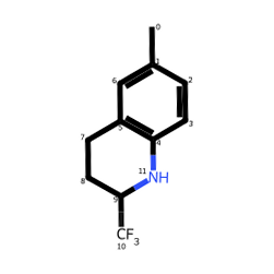 Cc1ccc2c(c1)CCC(C(F)(F)F)N2